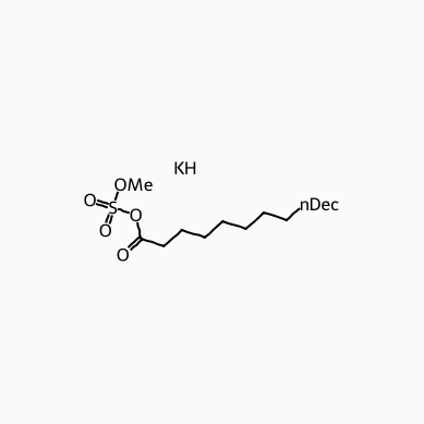 CCCCCCCCCCCCCCCCCC(=O)OS(=O)(=O)OC.[KH]